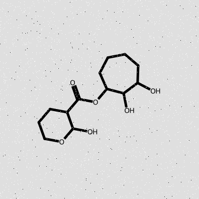 O=C(OC1CCCCC(O)C1O)C1CCCOC1O